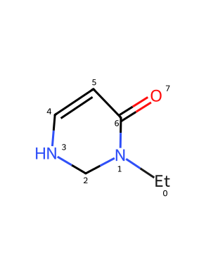 CCN1CNC=CC1=O